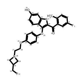 Cc1ccc(F)cc1C(=O)c1sc2cc(O)ccc2c1Oc1ccc(OCCN2CC(CF)C2)cc1